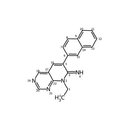 CCn1c(=N)c(-c2ccc3ccccc3c2)cc2cn[c]nc21